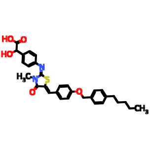 CCCCCc1ccc(COc2ccc(/C=C3\S/C(=N/c4ccc(C(O)C(=O)O)cc4)N(C)C3=O)cc2)cc1